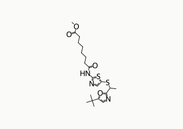 COC(=O)CCCCCCC(=O)Nc1ncc(SC(C)c2ncc(C(C)(C)C)o2)s1